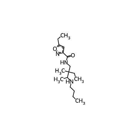 CCCCNC(C)C(C)(CC)CNC(=O)c1cc(CC)on1